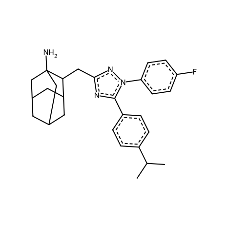 CC(C)c1ccc(-c2nc(CC3C4CC5CC(C4)CC3(N)C5)nn2-c2ccc(F)cc2)cc1